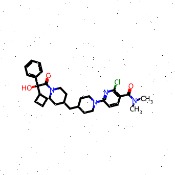 CN(C)C(=O)c1ccc(N2CCC(CC3CCN(C(=O)C(O)(c4ccccc4)C4CCC4)CC3)CC2)nc1Cl